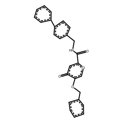 O=C(NCc1ccc(-c2ccccc2)cc1)c1cc(=O)c(OCc2ccccc2)co1